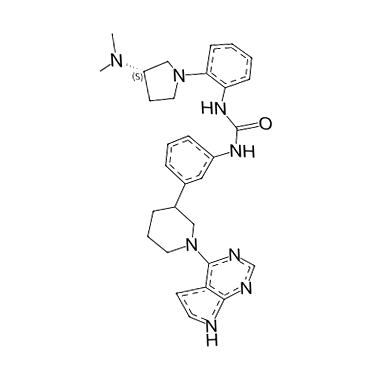 CN(C)[C@H]1CCN(c2ccccc2NC(=O)Nc2cccc(C3CCCN(c4ncnc5[nH]ccc45)C3)c2)C1